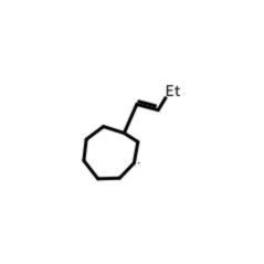 CC/C=C/C1C[CH]CCCCC1